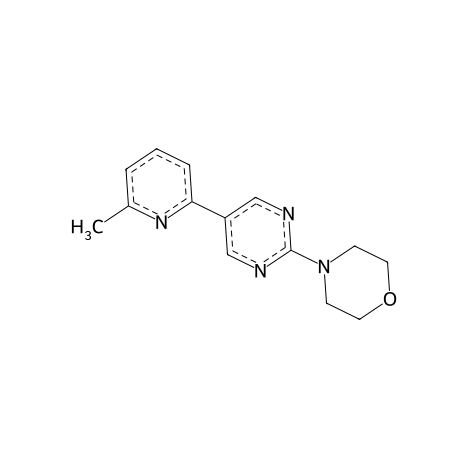 Cc1cccc(-c2cnc(N3CCOCC3)nc2)n1